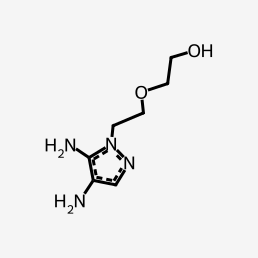 Nc1cnn(CCOCCO)c1N